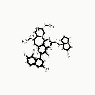 CC[C@@H]1CN2c3nc(OC[C@@]45CCCN4C[C@H](F)C5)nc4c(F)c(-c5cc(O)cc6ccc(F)c(C)c56)nc(c34)C[C@@H](CC)[C@H]2CN1